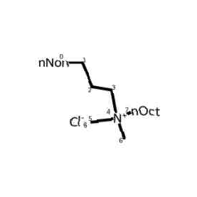 CCCCCCCCCCCC[N+](C)(C)CCCCCCCC.[Cl-]